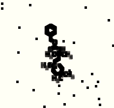 CC1(C)CC[N+](C)(CCC(C)(C)NC(=O)OCc2ccccc2)CC1